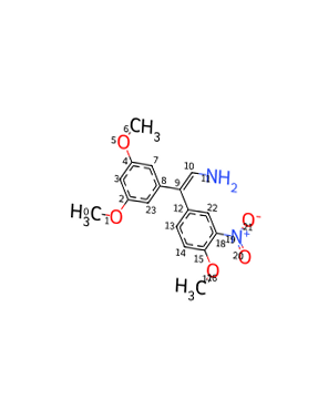 COc1cc(OC)cc(C(=CN)c2ccc(OC)c([N+](=O)[O-])c2)c1